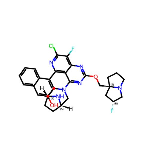 Oc1cc(-c2nc(Cl)c(F)c3nc(OC[C@@]45CCCN4C[C@H](F)C5)nc(N4C[C@H]5CC[C@@H](C4)N5)c23)c2ccccc2c1